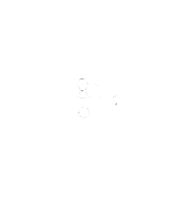 CCn1c(-c2cnc(C)nc2)nc2c(N(C3CC3)[C@@H]3C[C@H](C(N)=O)N(C)C3)ncnc21